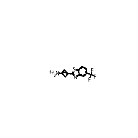 NC12CC(c3nc4cc(C(F)(F)F)ccc4s3)(C1)C2